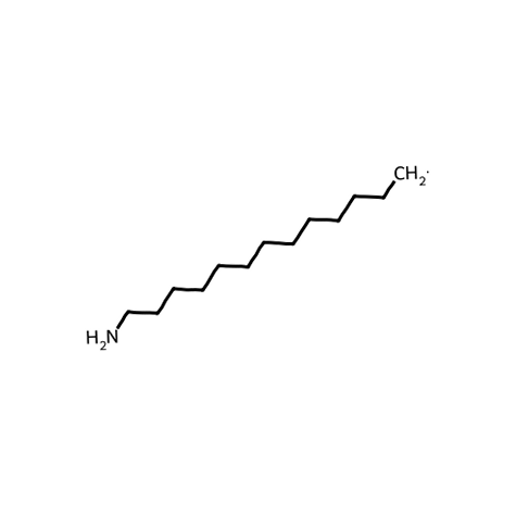 [CH2]CCCCCCCCCCCCN